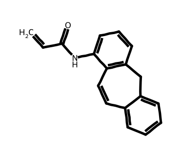 C=CC(=O)Nc1cccc2c1C=Cc1ccccc1C2